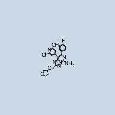 Cc1cc(-c2c(-c3ccc(F)cc3)nc(N)n3nc(COC4CCOC4)nc23)cc(Cl)n1